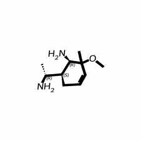 COC1(C)C=CC[C@@H]([C@@H](C)N)[C@H]1N